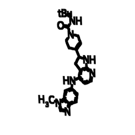 Cn1cnc2ccc(Nc3ccnc4c3CC(C3=CCN(C(=O)NC(C)(C)C)CC3)N4)cc21